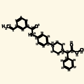 C=Cc1cccc(C(=O)Nc2ccc(N3CCN(C(C(=O)OC)c4ccccc4)CC3)cc2)c1